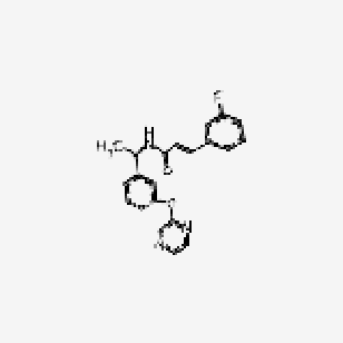 CC(NC(=O)/C=C/c1cccc(F)c1)c1cccc(Oc2cnccn2)c1